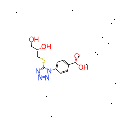 O=C(O)c1ccc(-n2nnnc2SCC(O)CO)cc1